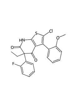 CCC1(c2ccccc2F)C(=O)Nc2sc(Cl)c(-c3ccccc3OC)c2C1=O